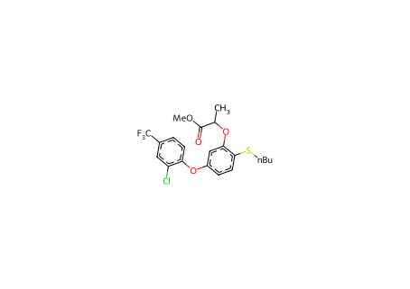 CCCCSc1ccc(Oc2ccc(C(F)(F)F)cc2Cl)cc1OC(C)C(=O)OC